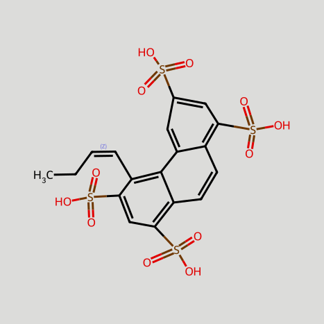 CC/C=C\c1c(S(=O)(=O)O)cc(S(=O)(=O)O)c2ccc3c(S(=O)(=O)O)cc(S(=O)(=O)O)cc3c12